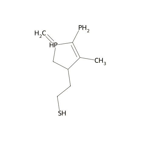 C=[PH]1CC(CCS)C(C)=C1P